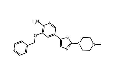 CN1CCN(c2ncc(-c3cnc(N)c(OCc4ccncc4)c3)s2)CC1